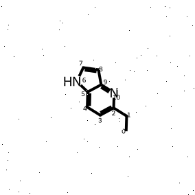 CCc1ccc2[nH]ccc2n1